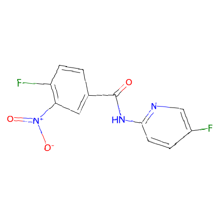 O=C(Nc1ccc(F)cn1)c1ccc(F)c([N+](=O)[O-])c1